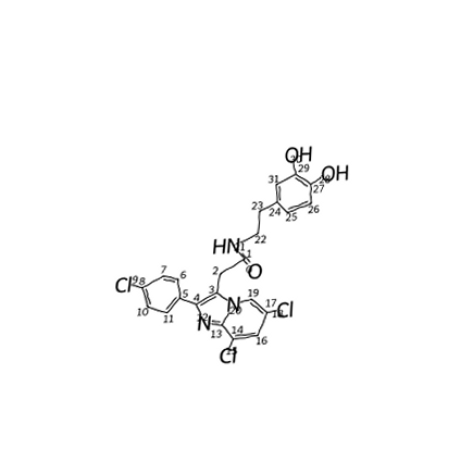 O=C(Cc1c(-c2ccc(Cl)cc2)nc2c(Cl)cc(Cl)cn12)NCCc1ccc(O)c(O)c1